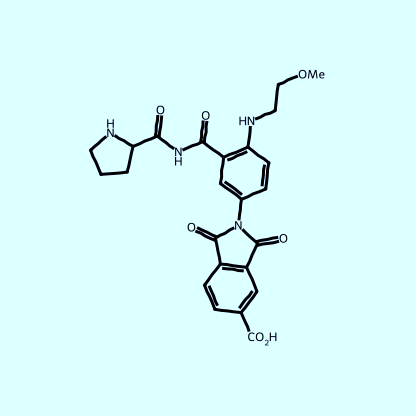 COCCNc1ccc(N2C(=O)c3ccc(C(=O)O)cc3C2=O)cc1C(=O)NC(=O)C1CCCN1